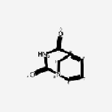 O=C1NC(=O)N2C=CC=C1C2